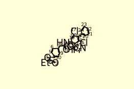 CCS(=O)(=O)c1ccc(CC(=O)NC2(OC(C)C)C=C(Cl)C(c3ccccc3)=C(Cl)C2C#N)cc1